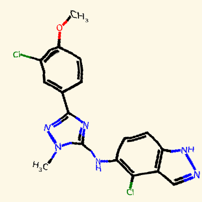 COc1ccc(-c2nc(Nc3ccc4[nH]ncc4c3Cl)n(C)n2)cc1Cl